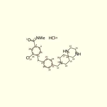 CNC(=O)c1ccc(Cc2ccc(CN3CCC4(CC3)CNCCN4)cc2)c(Cl)c1.Cl